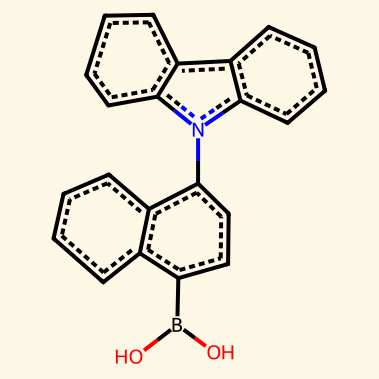 OB(O)c1ccc(-n2c3ccccc3c3ccccc32)c2ccccc12